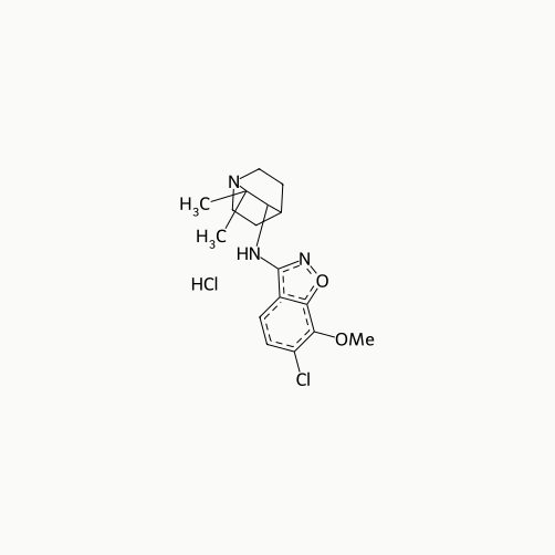 COc1c(Cl)ccc2c(NC3C4CCN(CC4)C3(C)C)noc12.Cl